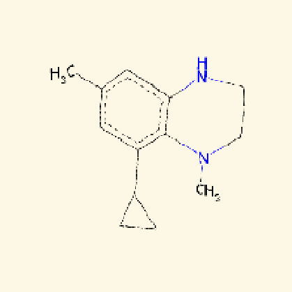 Cc1cc2c(c(C3CC3)c1)N(C)CCN2